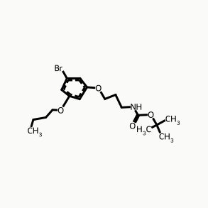 CCCCOc1cc(Br)cc(OCCCNC(=O)OC(C)(C)C)c1